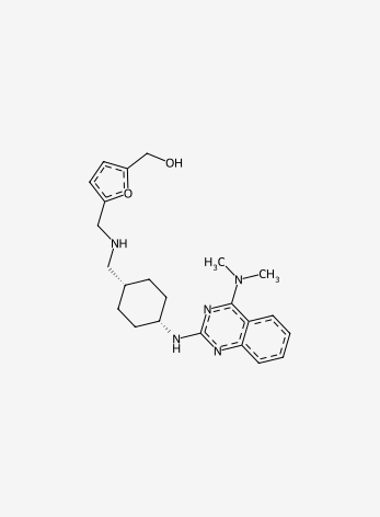 CN(C)c1nc(N[C@H]2CC[C@@H](CNCc3ccc(CO)o3)CC2)nc2ccccc12